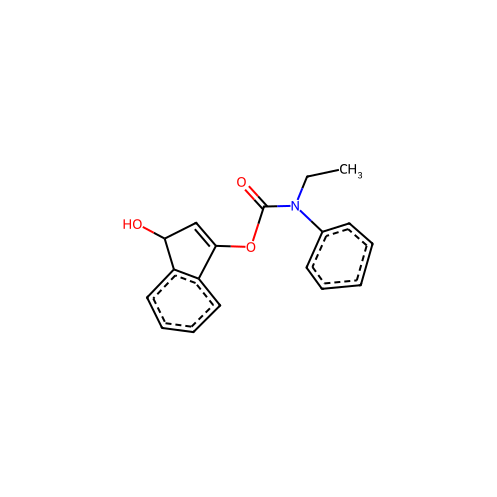 CCN(C(=O)OC1=CC(O)c2ccccc21)c1ccccc1